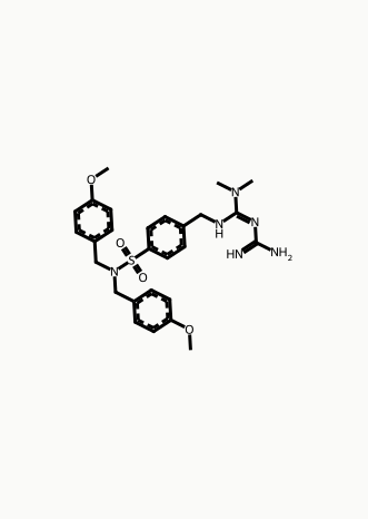 COc1ccc(CN(Cc2ccc(OC)cc2)S(=O)(=O)c2ccc(CN/C(=N\C(=N)N)N(C)C)cc2)cc1